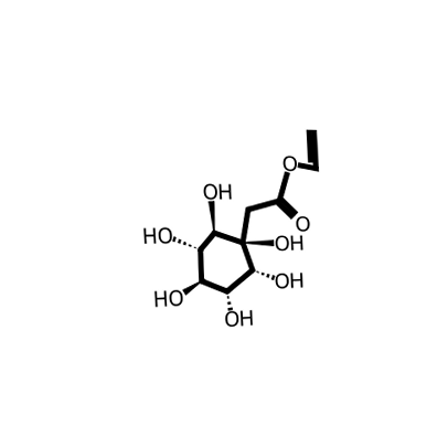 C=COC(=O)C[C@]1(O)[C@H](O)[C@H](O)[C@@H](O)[C@H](O)[C@H]1O